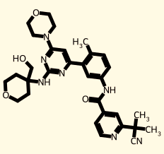 Cc1ccc(NC(=O)c2ccnc(C(C)(C)C#N)c2)cc1-c1cc(N2CCOCC2)nc(NC2(CO)CCOCC2)n1